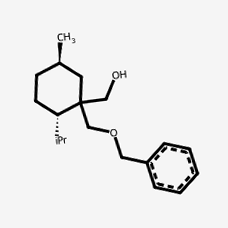 CC(C)[C@@H]1CC[C@@H](C)CC1(CO)COCc1ccccc1